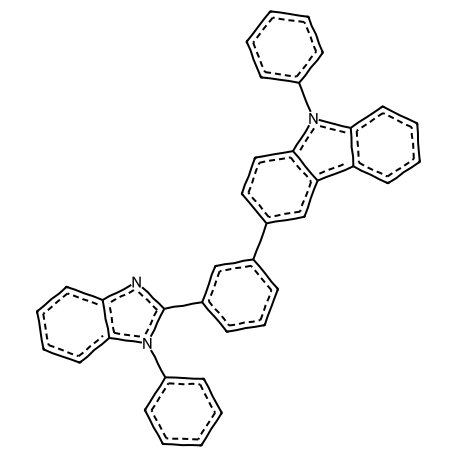 c1ccc(-n2c(-c3cccc(-c4ccc5c(c4)c4ccccc4n5-c4ccccc4)c3)nc3ccccc32)cc1